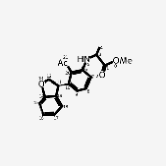 COC(=O)C(C)Nc1cccc([C@@H]2COc3ccccc32)c1C(C)=O